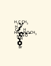 CCOC(=O)Nc1cc(NC(C)CCCN(CC)CC)c2ncc(-c3ccc(Br)cc3)nc2n1